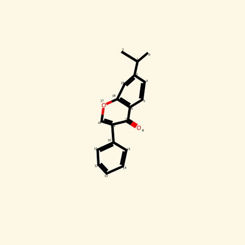 CC(C)c1ccc2c(=O)c(-c3ccccc3)coc2c1